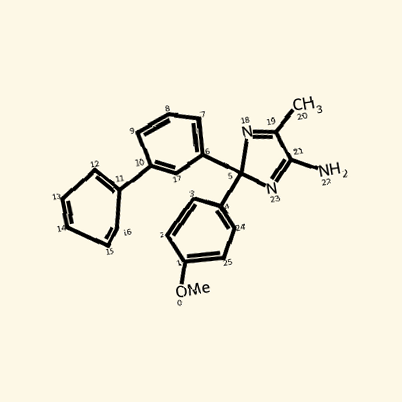 COc1ccc(C2(c3cccc(-c4ccccc4)c3)N=C(C)C(N)=N2)cc1